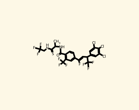 CC(NC(=O)c1ccc(/C(F)=C/C(c2cc(Cl)c(Cl)c(Cl)c2)C(F)(F)F)cc1C(F)(F)F)C(=S)NCC(F)(F)F